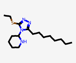 CCCCCCCCc1nnc(SCC)n1C1CCCCN1